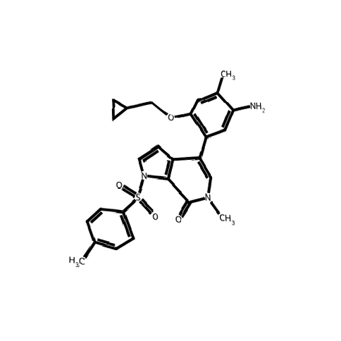 Cc1ccc(S(=O)(=O)n2ccc3c(-c4cc(N)c(C)cc4OCC4CC4)cn(C)c(=O)c32)cc1